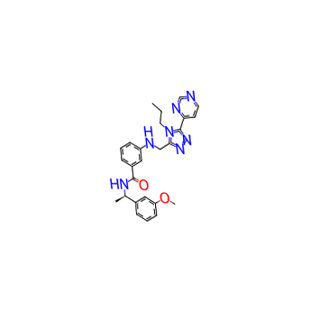 CCCn1c(CNc2cccc(C(=O)N[C@H](C)c3cccc(OC)c3)c2)nnc1-c1ccncn1